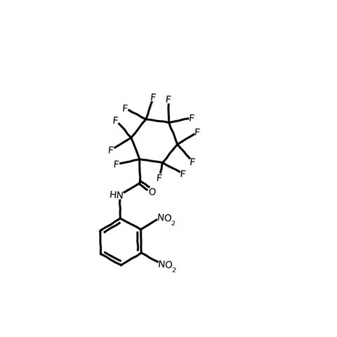 O=C(Nc1cccc([N+](=O)[O-])c1[N+](=O)[O-])C1(F)C(F)(F)C(F)(F)C(F)(F)C(F)(F)C1(F)F